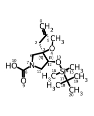 C=CC[C@@]1(OC)CN(C(=O)O)C[C@@H]1O[Si](C)(C)C(C)(C)C